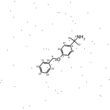 CC(C)(N)c1ccc(OCc2ccccc2)cc1